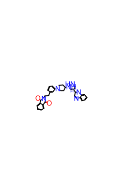 N=C/C(=C\NC1CCN(c2cccc(CCN3C(=O)c4ccccc4C3=O)c2)CC1)c1cnc2ccccc2n1